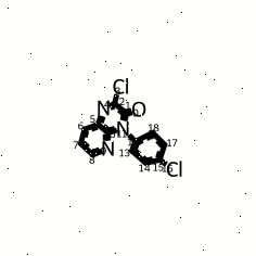 O=c1c(Cl)nc2cccnc2n1-c1ccc(Cl)cc1